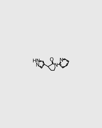 O=C1C(c2cn[nH]c2)CCN1c1ccccn1